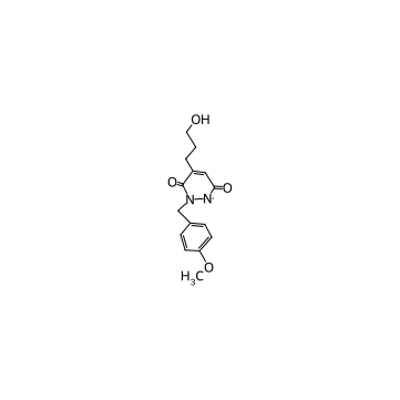 COc1ccc(CN2[N]C(=O)C=C(CCCO)C2=O)cc1